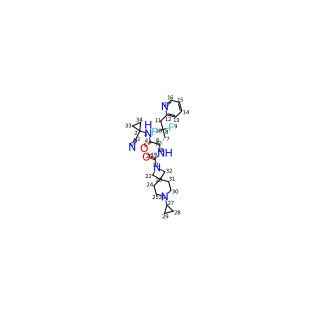 N#CC1(NC(=O)[C@H](CC(F)(F)Cc2ccccn2)NC(=O)N2CC3(CCN(C4CC4)CC3)C2)CC1